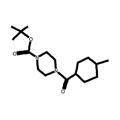 CC1CCC(C(=O)N2CCN(C(=O)OC(C)(C)C)CC2)CC1